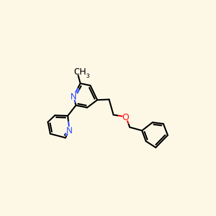 Cc1cc(CCOCc2ccccc2)cc(-c2ccccn2)n1